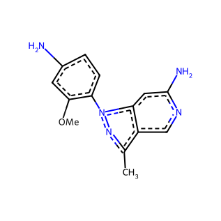 COc1cc(N)ccc1-n1nc(C)c2cnc(N)cc21